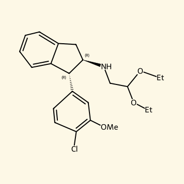 CCOC(CN[C@@H]1Cc2ccccc2[C@H]1c1ccc(Cl)c(OC)c1)OCC